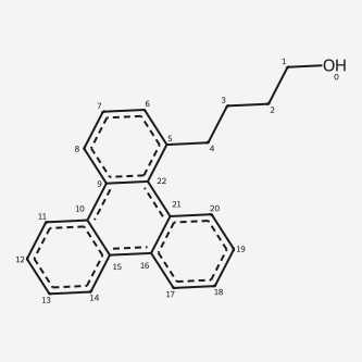 OCCCCc1cccc2c3ccccc3c3ccccc3c12